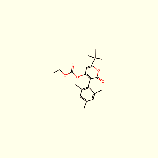 CCOC(=O)Oc1cc(C(C)(C)C)oc(=O)c1-c1c(C)cc(C)cc1C